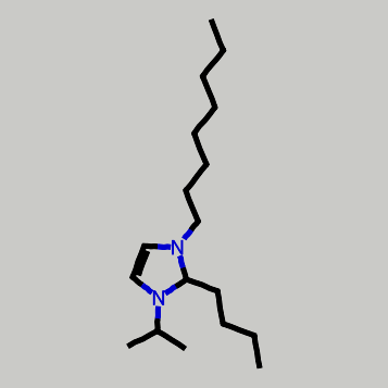 CCCCCCCCN1C=CN(C(C)C)C1CCCC